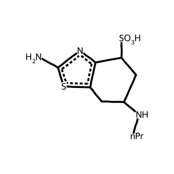 CCCNC1Cc2sc(N)nc2C(S(=O)(=O)O)C1